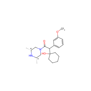 C[C@@H]1CN(C(=O)C(c2cccc(OC(F)(F)F)c2)C2(O)CCCCC2)C[C@H](C)N1